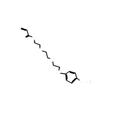 C=CC(=O)OCCOCCOCCOc1ccc(C(=O)O)cc1